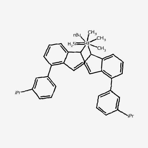 CCC[CH2][Hf]([CH3])([CH3])([CH3])(=[SiH2])([CH]1C=Cc2c(-c3cccc(C(C)C)c3)cccc21)[CH]1C=Cc2c(-c3cccc(C(C)C)c3)cccc21